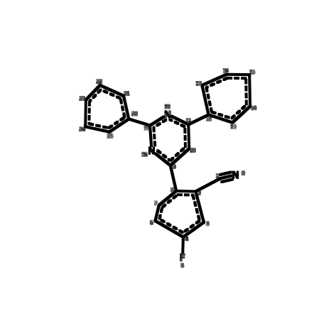 N#Cc1cc(F)ccc1-c1cc(-c2ccccc2)nc(-c2ccccc2)n1